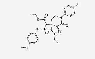 CCOC(=O)C(NNc1ccc(OC)cc1)C1(C(=O)OCC)CCN(c2ccc(I)cc2)C(=O)C1=O